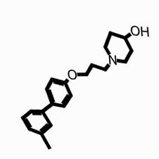 Cc1cccc(-c2ccc(OCCCN3CCC(O)CC3)cc2)c1